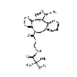 CCOC(C)(C)C(=O)NCCC(=O)C1Cc2ccccc2-c2c(nnn2CC)-c2ccccc21